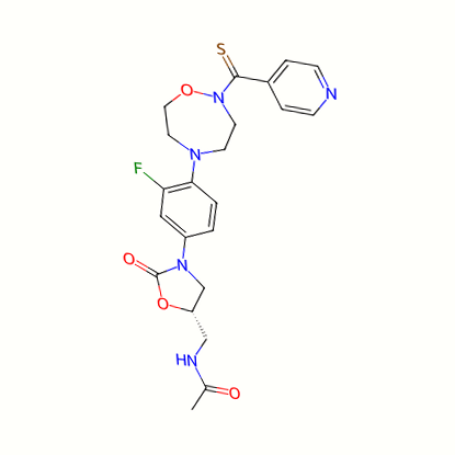 CC(=O)NC[C@H]1CN(c2ccc(N3CCON(C(=S)c4ccncc4)CC3)c(F)c2)C(=O)O1